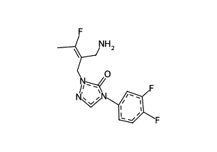 C/C(F)=C(/CN)Cn1ncn(-c2ccc(F)c(F)c2)c1=O